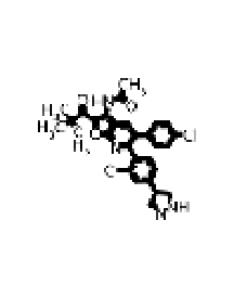 CC(=O)Nc1c(C(=O)C(C)(C)C)oc2nc(-c3ccc(C4C=NNC4)cc3Cl)c(-c3ccc(Cl)cc3)cc12